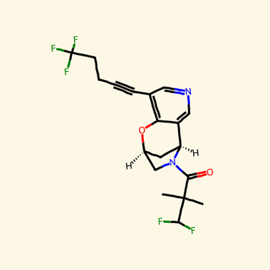 CC(C)(C(=O)N1C[C@@H]2C[C@H]1c1cncc(C#CCCC(F)(F)F)c1O2)C(F)F